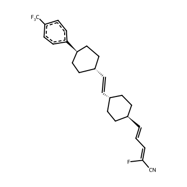 N#CC(F)=CC=C[C@H]1CC[C@H](/C=C/[C@H]2CC[C@H](c3ccc(C(F)(F)F)cc3)CC2)CC1